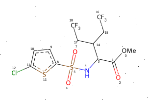 COC(=O)C(NS(=O)(=O)c1ccc(Cl)s1)C(CC(F)(F)F)CC(F)(F)F